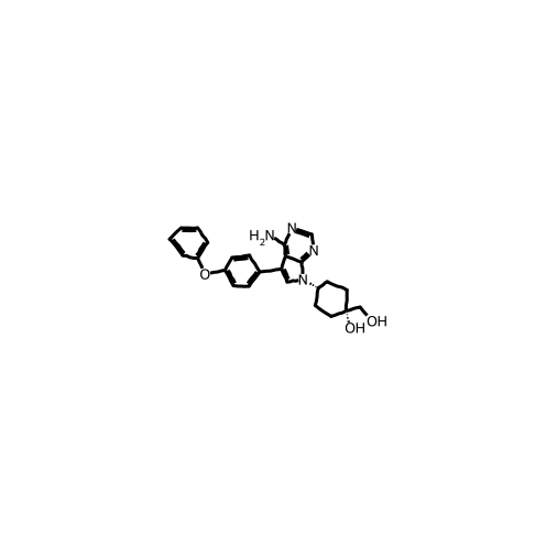 Nc1ncnc2c1c(-c1ccc(Oc3ccccc3)cc1)cn2[C@H]1CC[C@](O)(CO)CC1